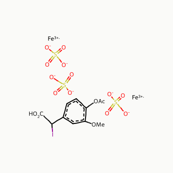 COc1cc(C(I)C(=O)O)ccc1OC(C)=O.O=S(=O)([O-])[O-].O=S(=O)([O-])[O-].O=S(=O)([O-])[O-].[Fe+3].[Fe+3]